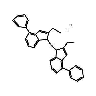 CCC1=Cc2c(-c3ccccc3)cccc2[CH]1[Hf+2][CH]1C(CC)=Cc2c(-c3ccccc3)cccc21.[Cl-].[Cl-]